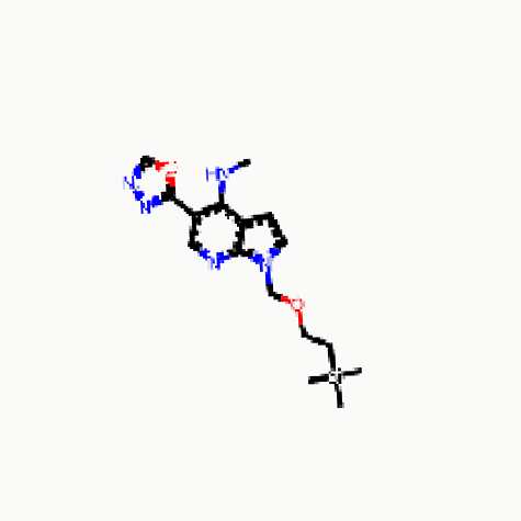 CNc1c(-c2nnco2)cnc2c1ccn2COCC[Si](C)(C)C